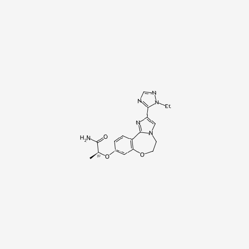 CCn1ncnc1-c1cn2c(n1)-c1ccc(O[C@@H](C)C(N)=O)cc1OCC2